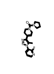 Cc1c(C2=CCN(C(=O)N3CCCC3)CC2)nnn1-c1cccnc1F